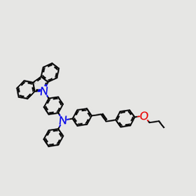 CCCOc1ccc(/C=C/c2ccc(N(c3ccccc3)c3ccc(-n4c5ccccc5c5ccccc54)cc3)cc2)cc1